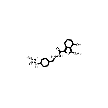 CSc1sc(C(=O)NNCC2CCC(NS(=O)(=O)C(C)(C)C)CC2)c2c1C(O)CCC2